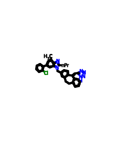 CCCc1nc2c(C)cc(-c3ccccc3Cl)cc2n1Cc1ccc2c(c1)CCc1ccccc1C2=Cc1nnn[nH]1